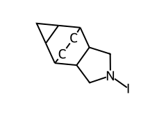 IN1CC2C3CCC(C4CC34)C2C1